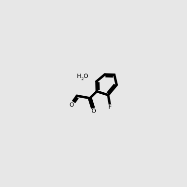 O.O=CC(=O)c1ccccc1F